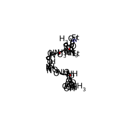 CC/N=c1/cc2oc3cc(NCC)c(C)cc3c(-c3ccccc3C(=O)N(C)CCCC(=O)NCCNC(=O)c3cccc(OCC(N=[N+]=[N-])OCCOCC(=O)NCC#Cc4cn([C@H]5CC(O[C@H](C)OCC)[C@@H](COP(=O)(O)O)O5)c(=O)[nH]c4=O)c3)c-2cc1C